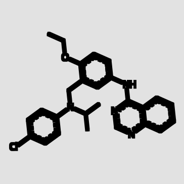 CCOc1ccc(Nc2ncnc3ccccc23)cc1CN(c1ccc(Cl)cc1)C(C)C